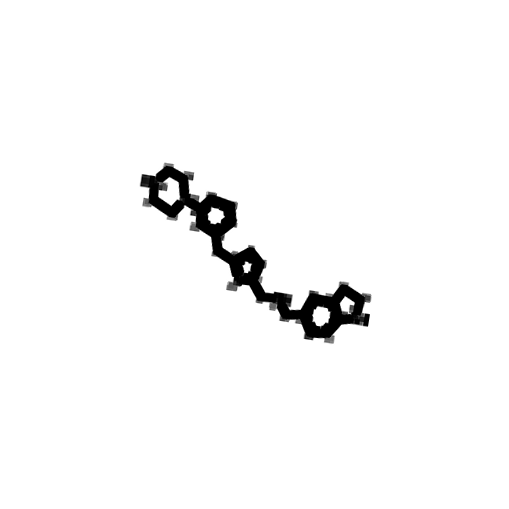 c1cc(Cc2ccc(CNCc3ccc4c(c3)CCN4)s2)cc(N2CCNCC2)c1